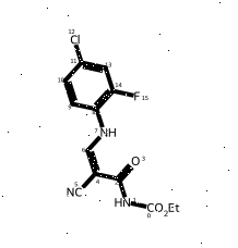 CCOC(=O)NC(=O)/C(C#N)=C\Nc1ccc(Cl)cc1F